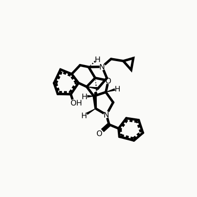 O=C(c1ccccc1)N1C[C@H]2O[C@@]34CC[C@@H]1[C@@H]2[C@@]31CCN(CC2CC2)[C@@H]4Cc2cccc(O)c21